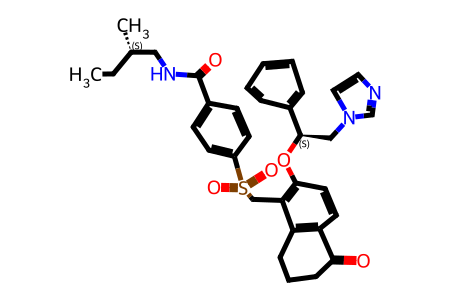 CC[C@H](C)CNC(=O)c1ccc(S(=O)(=O)Cc2c(O[C@H](Cn3ccnc3)c3ccccc3)ccc3c2CCCC3=O)cc1